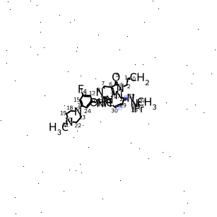 C=CCn1c(=O)c2cnc(Nc3cc(F)cc(N4CCN(C)CC4)c3)nc2n1C(/C=C\C=O)=N/N(C)C(C)C